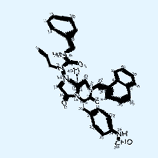 C=CCN(C(=O)NCc1ccccc1)N1CC(=O)N2[C@@H](Cc3ccc(NC=O)cc3)C(=O)N(Cc3cccc4ccccc34)C[C@@H]21